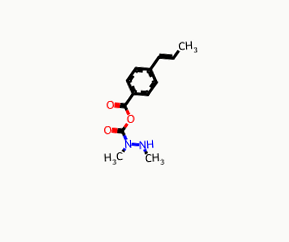 CC=Cc1ccc(C(=O)OC(=O)N(C)NC)cc1